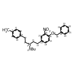 CCCCN(CCc1ccc(C)cc1)CCc1ccc(OCc2ccccc2)c([N+](=O)[O-])c1